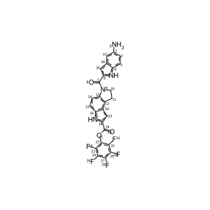 Nc1ccc2[nH]c(C(=O)N3CCc4c3ccc3[nH]c(C(=O)Oc5c(F)c(F)c(F)c(F)c5F)cc43)cc2c1